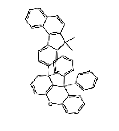 CC1(c2ccc3c(c2)C(C)(C)c2ccc4ccccc4c2-3)CC=CC2=C1C(c1ccccc1)(c1ccccc1)c1ccccc1O2